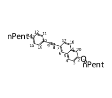 CCCCCOc1ccc2cc(C#Cc3ccc(CCCCC)cc3)ccc2c1